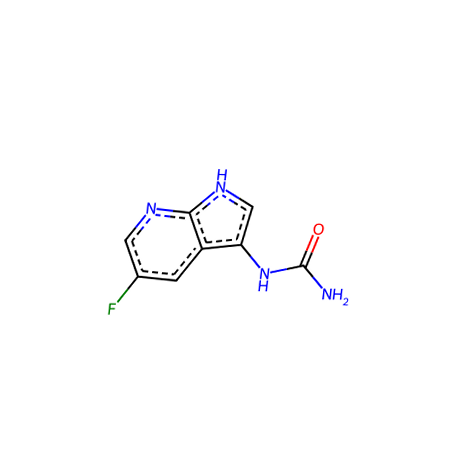 NC(=O)Nc1c[nH]c2ncc(F)cc12